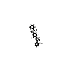 COc1ccccc1-c1nc(-c2ccc(NC(=O)c3ccccn3)cc2Cl)no1